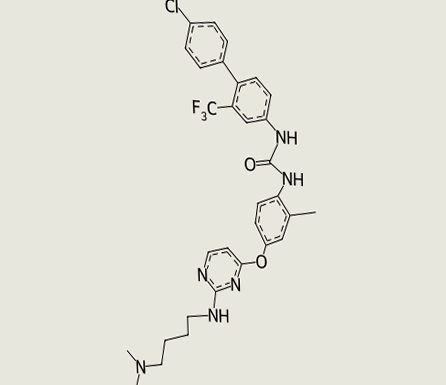 Cc1cc(Oc2ccnc(NCCCCN(C)C)n2)ccc1NC(=O)Nc1ccc(-c2ccc(Cl)cc2)c(C(F)(F)F)c1